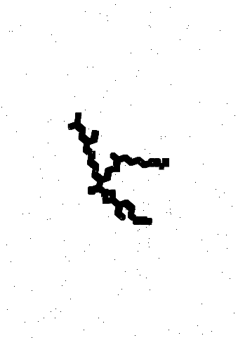 C=CC(/C=N/C=C/C=C(\C=C\N=C(/C)CCCCC(=O)O)C(=O)N1CC(C(/C=C\COC)=C/C)C1)=C\C=C(/C)F